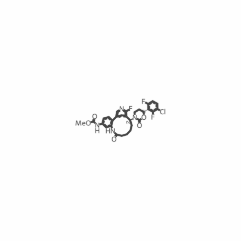 COC(=O)Nc1ccc2c(c1)NC(=O)CCCC[C@H](N1CC[C@H](c3c(F)ccc(Cl)c3F)OC1=O)c1cc-2cnc1F